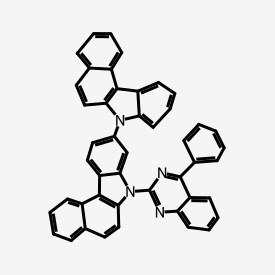 c1ccc(-c2nc(-n3c4cc(-n5c6ccccc6c6c7ccccc7ccc65)ccc4c4c5ccccc5ccc43)nc3ccccc23)cc1